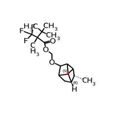 C[C@H]1CC2C3CC(C[C@H]1C3)C2OCOC(=O)C(C)(C(C)(C)C)C(F)(F)F